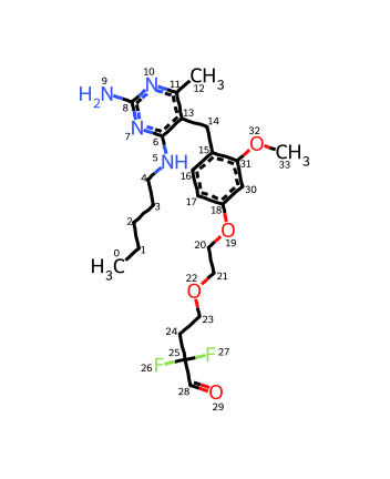 CCCCCNc1nc(N)nc(C)c1Cc1ccc(OCCOCCC(F)(F)C=O)cc1OC